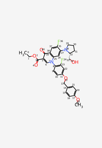 CCOC(=O)c1cn(-c2ccc(OCc3ccc(OC)cc3)cc2F)c2cc(N3CCC[C@@H]3CO)c(F)cc2c1=O